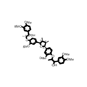 COc1ccc(C(O)C(C)Oc2ccc([C@H]3OC(c4ccc(O[C@H](C)[C@H](O)c5ccc(OC)c(OC)c5)c(OC)c4)[C@@H](C)[C@H]3C)cc2OC)cc1OC